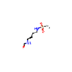 CS(=O)(=O)NCCCCNC=O